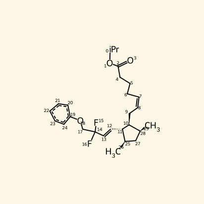 CC(C)OC(=O)CCC/C=C\C[C@@H]1[C@@H](/C=C/C(F)(F)COc2ccccc2)[C@H](C)C[C@@H]1C